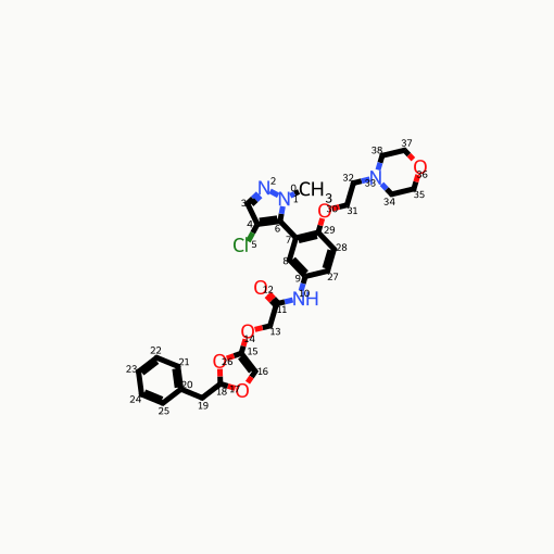 Cn1ncc(Cl)c1-c1cc(NC(=O)COC2=COC(Cc3ccccc3)O2)ccc1OCCN1CCOCC1